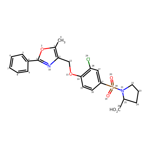 Cc1oc(-c2ccccc2)nc1COc1ccc(S(=O)(=O)N2CCCC2C(=O)O)cc1Cl